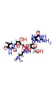 Cc1cn([C@H]2C[C@@H](O)[C@@H](COP(=O)(NCCCN(C)C)O[C@@H]3C[C@H](n4cnc5c(=O)[nH]c(N)nc54)O[C@@H]3CO)O2)c(=O)[nH]c1=O